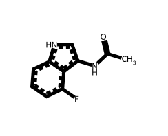 CC(=O)Nc1c[nH]c2cccc(F)c12